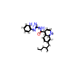 CCCC(C)Cc1ccc2c(C(=O)NC(N)=Nc3ccccc3)ccnc2c1